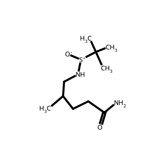 CC(CCC(N)=O)CN[S+]([O-])C(C)(C)C